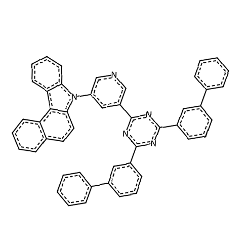 c1ccc(-c2cccc(-c3nc(-c4cccc(-c5ccccc5)c4)nc(-c4cncc(-n5c6ccccc6c6c7ccccc7ccc65)c4)n3)c2)cc1